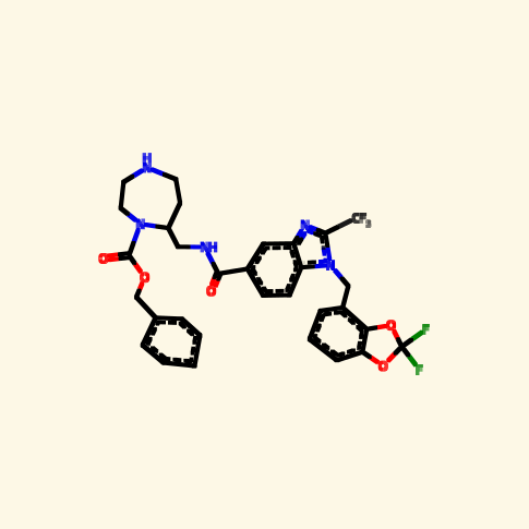 O=C(NCC1CCNCCN1C(=O)OCc1ccccc1)c1ccc2c(c1)nc(C(F)(F)F)n2Cc1cccc2c1OC(F)(F)O2